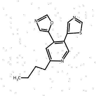 CCCCc1cc(-c2cnco2)c(-c2cncs2)[c]n1